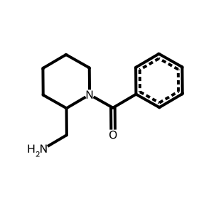 NCC1CCCCN1C(=O)c1ccccc1